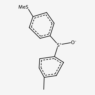 CSc1ccc([S+]([O-])c2ccc(C)cc2)cc1